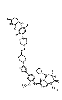 COc1cc(-c2nnc(N3CCC(CCN4CCN(c5cc(F)c(NC6CCC(=O)NC6=O)cc5F)CC4)CC3)o2)ccc1Nc1ncc2c(n1)N(C1CCCC1)CC(F)(F)C(=O)N2C